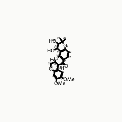 COc1cc2c(cc1OC)[C@@H]1C(=O)c3ccc4c(c3O[C@@H]1CO2)C(O)C(O)C(C)(C)O4